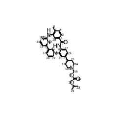 Cc1ccc(C(=O)Nc2ccc(C3CCN(COC(=O)OC(C)C)CC3)cc2)cc1Nc1nccc(-c2cccnc2)n1